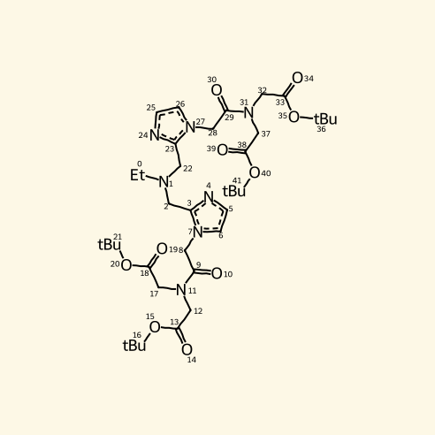 CCN(Cc1nccn1CC(=O)N(CC(=O)OC(C)(C)C)CC(=O)OC(C)(C)C)Cc1nccn1CC(=O)N(CC(=O)OC(C)(C)C)CC(=O)OC(C)(C)C